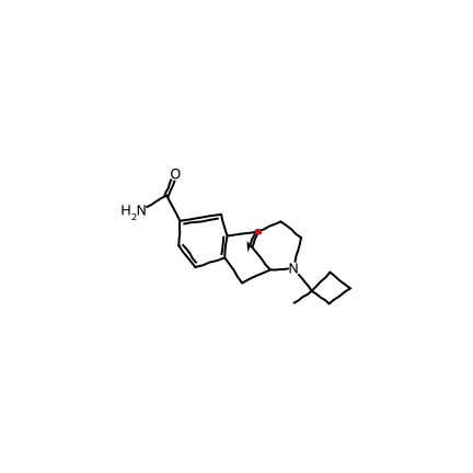 CC1(N2CCC34CCCCC3C2Cc2ccc(C(N)=O)cc24)CCC1